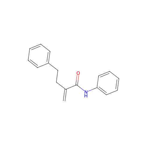 C=C(CCc1ccccc1)C(=O)Nc1ccccc1